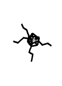 CCC[C]12[CH]3[CH]4[C]5(CCC)[CH]1[Fe]34251678[CH]2[CH]1[C]6(CCC)[CH]7[C]28CCC